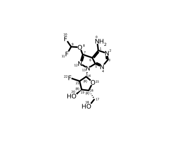 Nc1ncnc2c1c(OC(F)F)nn2[C@@H]1O[C@H](CO)[C@@H](O)C1F